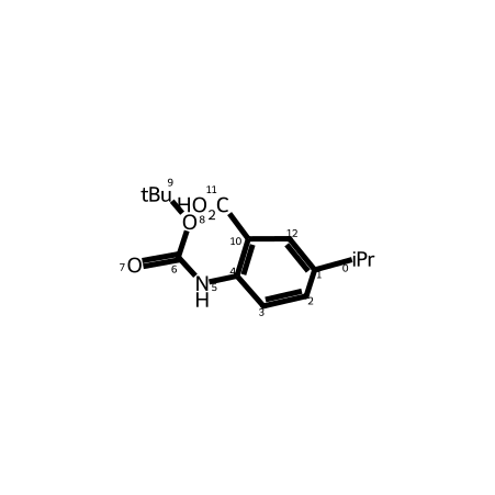 CC(C)c1ccc(NC(=O)OC(C)(C)C)c(C(=O)O)c1